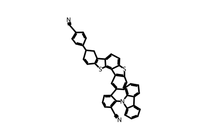 N#Cc1ccc(C2C=Cc3sc4c(ccc5sc6ccc(-c7cccc(C#N)c7-n7c8ccccc8c8ccccc87)cc6c54)c3C2)cc1